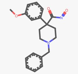 COc1cccc(C2(C(=O)N=O)CCN(Cc3ccccc3)CC2)c1